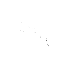 COC(OC)[SiH2]CCCN=C=O